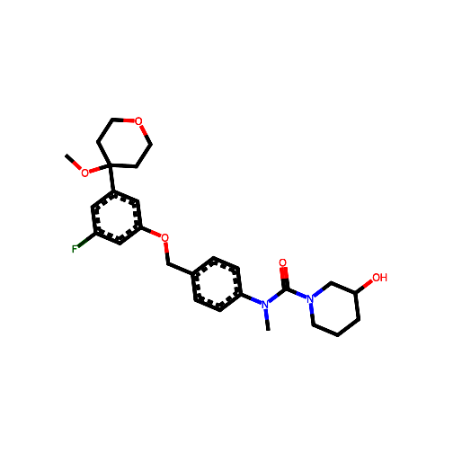 COC1(c2cc(F)cc(OCc3ccc(N(C)C(=O)N4CCCC(O)C4)cc3)c2)CCOCC1